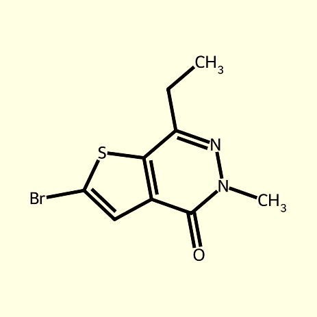 CCc1nn(C)c(=O)c2cc(Br)sc12